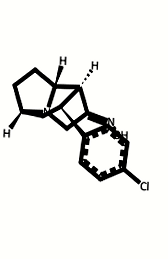 O/N=C1\CN2[C@H]3CC[C@@H]2[C@@H]1[C@@H](c1ccc(Cl)cc1)C3